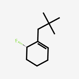 CC(C)(C)CC1=CCCC[C@@H]1F